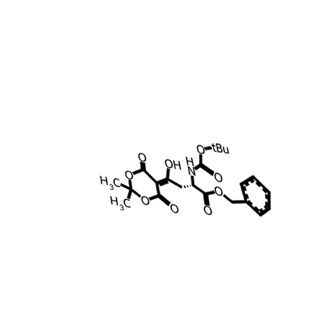 CC(C)(C)OC(=O)N[C@@H](CC(O)=C1C(=O)OC(C)(C)OC1=O)C(=O)OCc1ccccc1